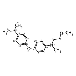 COCCN(C)c1ccc(Oc2ccc(C(C)C)cc2)cc1